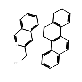 C1=CC2=C(CC1)CCc1c2ccc2ccccc12.OCc1cc2ccccc2cn1